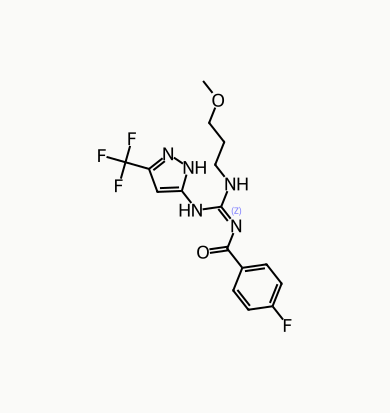 COCCCN/C(=N/C(=O)c1ccc(F)cc1)Nc1cc(C(F)(F)F)n[nH]1